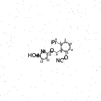 CC(C)c1cccc(OC#N)c1COc1ccn(O)n1